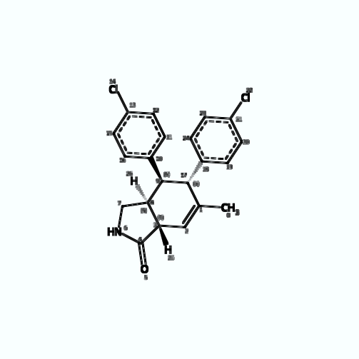 CC1=C[C@@H]2C(=O)NC[C@H]2[C@@H](c2ccc(Cl)cc2)[C@@H]1c1ccc(Cl)cc1